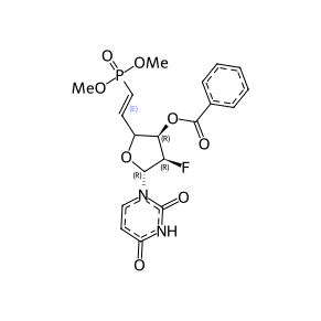 COP(=O)(/C=C/C1O[C@@H](n2ccc(=O)[nH]c2=O)[C@H](F)[C@@H]1OC(=O)c1ccccc1)OC